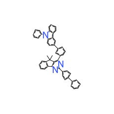 CC1(C)c2ccccc2-c2nc(-c3ccc(-c4ccccc4)cc3)nc(-c3cccc(-c4ccc5c(c4)c4ccccc4n5-c4ccccc4)c3)c21